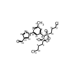 Cc1cc(N(S(=O)(=O)CCCCl)S(=O)(=O)CCCCl)cc(-n2cc(C=O)cn2)n1